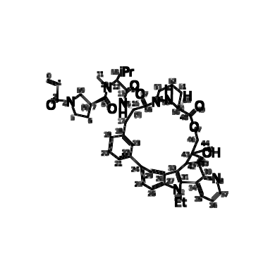 C=CC(=O)N1CC[C@H](C(=O)N(C)C(C(=O)N[C@H]2Cc3cccc(c3)-c3ccc4c(c3)c3c(n4CC)-c4cccnc4[C@H](O)C3C(C)(C)COC(=O)[C@@H]3CCCN(N3)C2=O)C(C)C)C1